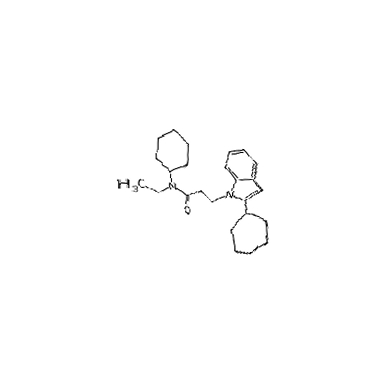 CCN(C(=O)CCn1c(C2CCCCC2)cc2ccccc21)C1CCCCC1